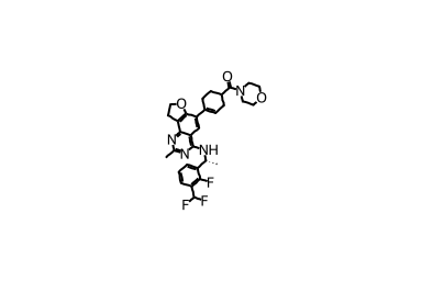 Cc1nc(N[C@H](C)c2cccc(C(F)F)c2F)c2cc(C3=CCC(C(=O)N4CCOCC4)CC3)c3c(c2n1)CCO3